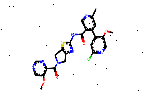 COc1cnc(Cl)cc1-c1cc(C)ncc1C(=O)Nc1nc2c(s1)CN(C(=O)c1ncncc1OC)C2